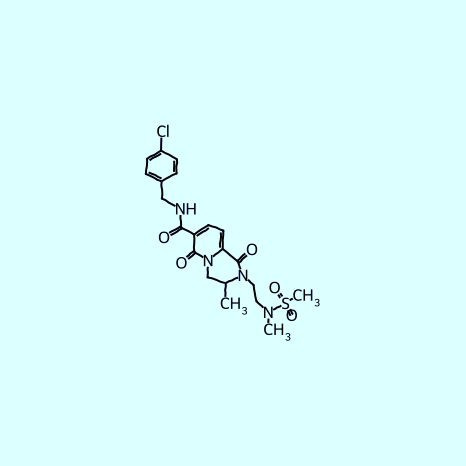 CC1Cn2c(ccc(C(=O)NCc3ccc(Cl)cc3)c2=O)C(=O)N1CCN(C)S(C)(=O)=O